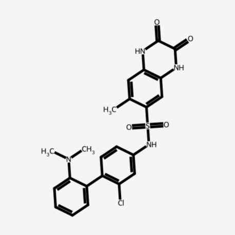 Cc1cc2[nH]c(=O)c(=O)[nH]c2cc1S(=O)(=O)Nc1ccc(-c2ccccc2N(C)C)c(Cl)c1